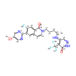 COc1cnc(-c2cc3ccn(CCC[C@H](C)Nc4cn[nH]c(=O)c4C(F)(F)F)c(=O)c3cc2F)nc1